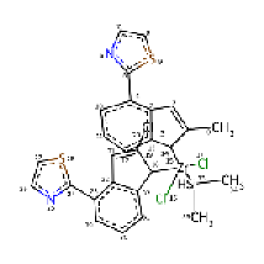 CC1=Cc2c(-c3nccs3)cccc2[CH]1[Zr]([Cl])([Cl])([CH]1C(C)=Cc2c(-c3nccs3)cccc21)[SiH](C)C